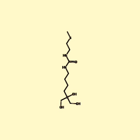 CSCCNC(=O)NCCCC[Si](O)(CO)CO